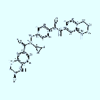 O=C1COc2cc(C(=O)N(Cc3ccc(C(=O)Nc4ccc5c(c4)NCCC5)cc3)C3CC3)ccc2N1